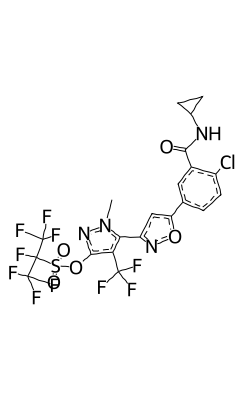 Cn1nc(OS(=O)(=O)C(F)(C(F)(F)F)C(F)(F)F)c(C(F)(F)F)c1-c1cc(-c2ccc(Cl)c(C(=O)NC3CC3)c2)on1